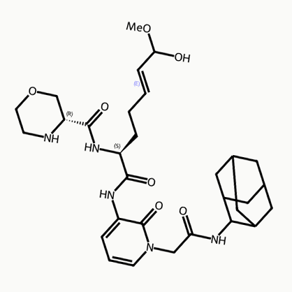 COC(O)/C=C/CC[C@H](NC(=O)[C@H]1COCCN1)C(=O)Nc1cccn(CC(=O)NC2C3CC4CC(C3)CC2C4)c1=O